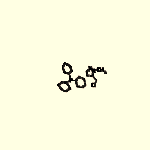 Cn1nccc1CCl.c1ccc(P(c2ccccc2)c2ccccc2)cc1